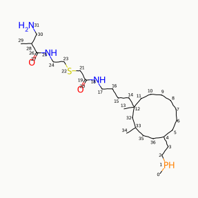 CPCCC1CCCCCCCC(C)(CCCCNC(=O)CSCCNC(=O)C(C)CN)CC(C)CC1